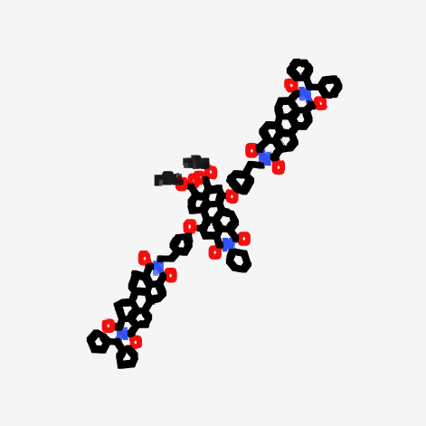 CCCCOC(=O)c1ccc2c3c(Oc4ccc(CCN5C(=O)c6ccc7c8ccc9c%10c(ccc(c%11ccc(c6c7%11)C5=O)c%108)C(=O)N(C(c5ccccc5)c5ccccc5)C9=O)cc4)cc4c5c(ccc(c6c(Oc7ccc(CCN8C(=O)c9ccc%10c%11ccc%12c%13c(ccc(c%14ccc(c9c%10%14)C8=O)c%13%11)C(=O)N(C(c8ccccc8)c8ccccc8)C%12=O)cc7)cc(C(=O)OCCCC)c1c26)c53)C(=O)N(C1CCCCC1)C4=O